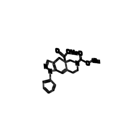 COC(=O)[C@]12Cc3cnn(-c4ccccc4)c3C=C1CCN(C(=O)OC(C)(C)C)C2